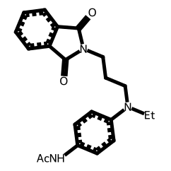 CCN(CCCN1C(=O)c2ccccc2C1=O)c1ccc(NC(C)=O)cc1